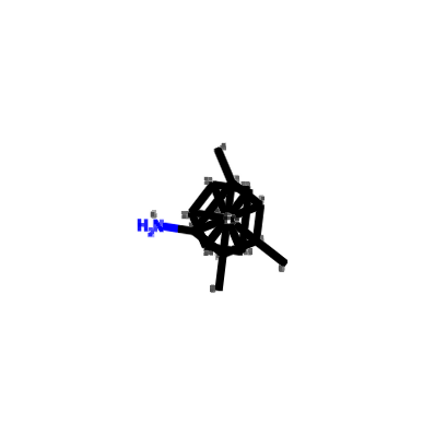 C[C]12[CH]3[C]4(C)[C]5(N)[C]1(C)[Fe]32451678[CH]2[CH]1[CH]6[CH]7[CH]28